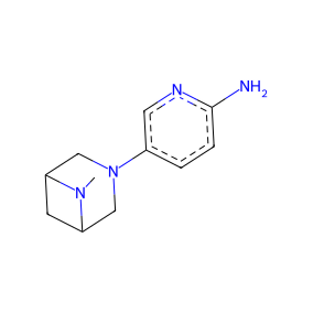 CN1C2CC1CN(c1ccc(N)nc1)C2